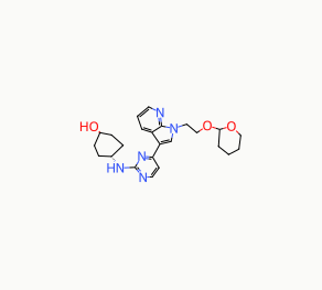 O[C@H]1CC[C@H](Nc2nccc(-c3cn(CCOC4CCCCO4)c4ncccc34)n2)CC1